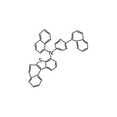 c1ccc2c(-c3ccc(N(c4cccc5ccccc45)c4cccc5c4sc4ccc6ccccc6c45)cc3)cccc2c1